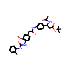 COc1cc(CC(=O)Nc2ccc(C(CC(=O)OC(C)(C)C)NC(C)=O)cc2)ccc1NC(=O)Nc1ccccc1C